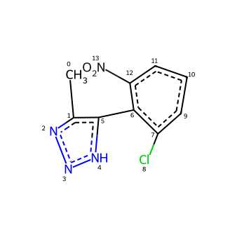 Cc1nn[nH]c1-c1c(Cl)cccc1[N+](=O)[O-]